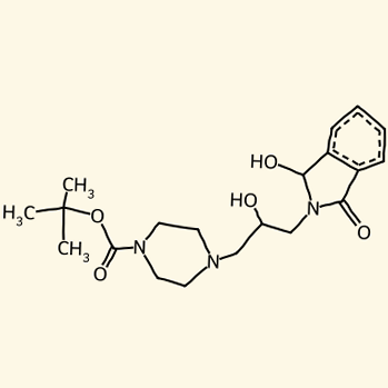 CC(C)(C)OC(=O)N1CCN(CC(O)CN2C(=O)c3ccccc3C2O)CC1